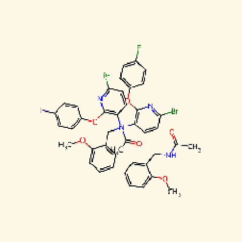 COc1ccccc1CNC(C)=O.COc1ccccc1C[N+](C(C)=O)(c1ccc(Br)nc1Oc1ccc(F)cc1)c1ccc(Br)nc1Oc1ccc(I)cc1